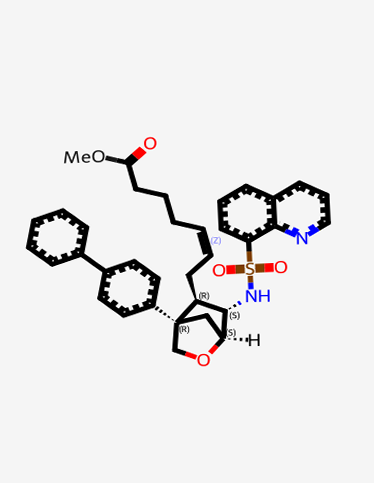 COC(=O)CCC/C=C\C[C@H]1[C@H](NS(=O)(=O)c2cccc3cccnc23)[C@@H]2C[C@@]1(c1ccc(-c3ccccc3)cc1)CO2